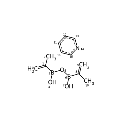 C=C(C)B(O)OB(O)C(=C)C.c1ccncc1